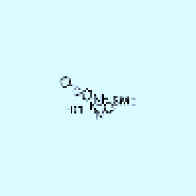 CSc1ccc2ncnc(Nc3ccc(OCc4ccccc4)cc3)c2c1.Cl